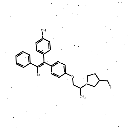 CCC(=C(c1ccc(O)cc1)c1ccc(OCC(C)N2CCC(CF)C2)cc1)c1ccccc1